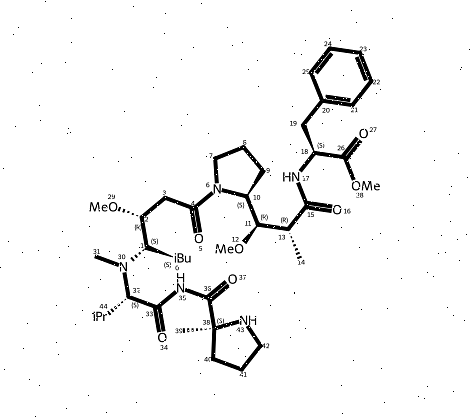 CC[C@H](C)[C@@H]([C@@H](CC(=O)N1CCC[C@H]1[C@H](OC)[C@@H](C)C(=O)N[C@@H](Cc1ccccc1)C(=O)OC)OC)N(C)[C@H](C(=O)NC(=O)[C@]1(C)CCCN1)C(C)C